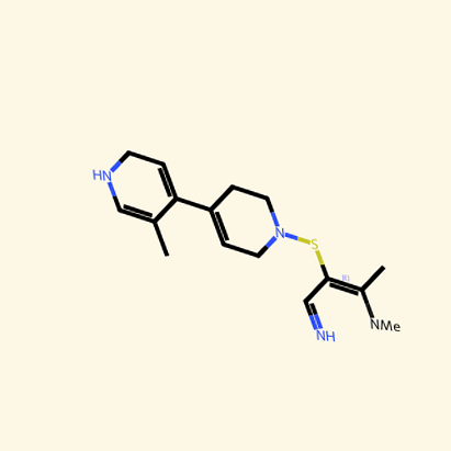 CN/C(C)=C(\C=N)SN1CC=C(C2=CCNC=C2C)CC1